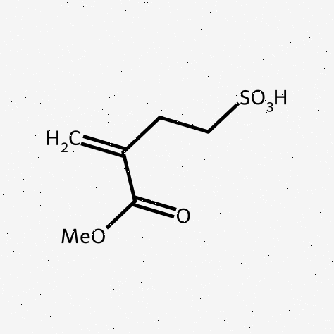 C=C(CCS(=O)(=O)O)C(=O)OC